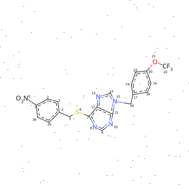 O=[N+]([O-])c1ccc(CSc2ncnc3c2ncn3Cc2ccc(OC(F)(F)F)cc2)cc1